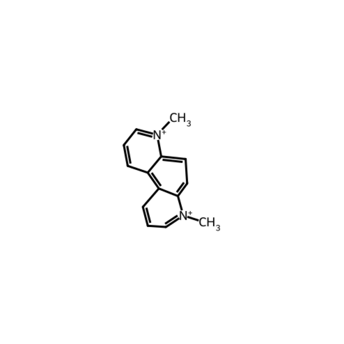 C[n+]1cccc2c3ccc[n+](C)c3ccc21